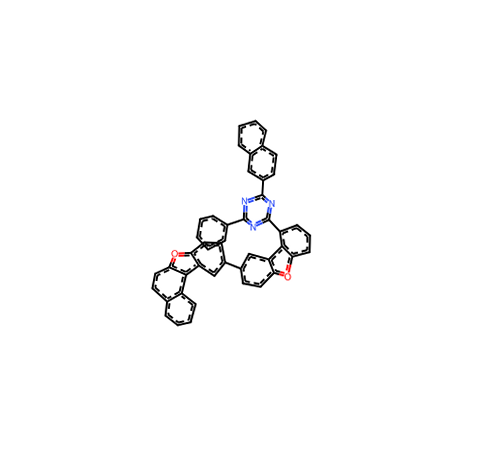 c1ccc(-c2nc(-c3ccc4ccccc4c3)nc(-c3cccc4oc5ccc(-c6ccc7oc8ccc9ccccc9c8c7c6)cc5c34)n2)cc1